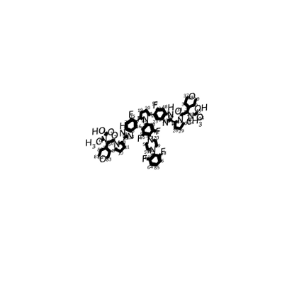 CN(C(=O)O)[C@H](C(=O)N1CCC[C@H]1c1nc2cc([C@H]3CC[C@H](c4cc5nc([C@@H]6CCCN6C(=O)[C@H](C6CCOCC6)N(C)C(=O)O)[nH]c5cc4F)N3c3cc(F)c(N4CCN(c5c(F)cccc5F)CC4)c(F)c3)c(F)cc2[nH]1)C1CCOCC1